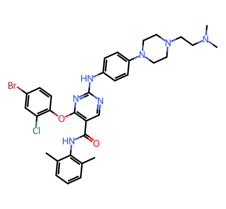 Cc1cccc(C)c1NC(=O)c1cnc(Nc2ccc(N3CCN(CCN(C)C)CC3)cc2)nc1Oc1ccc(Br)cc1Cl